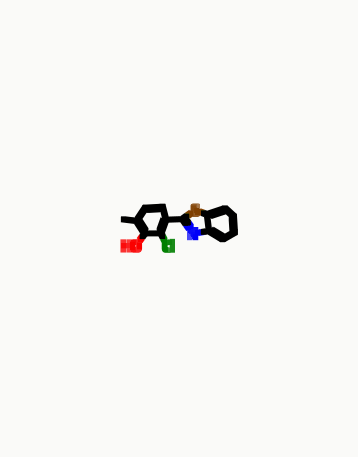 Cc1ccc(-c2nc3ccccc3s2)c(Cl)c1O